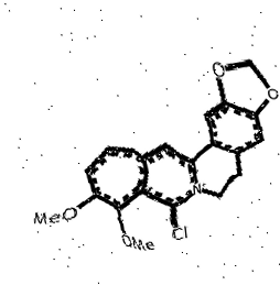 COc1ccc2cc3[n+](c(Cl)c2c1OC)CCc1cc2c(cc1-3)OCO2